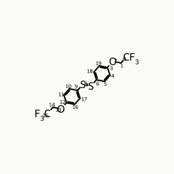 FC(F)(F)COc1ccc(SSc2ccc(OCC(F)(F)F)cc2)cc1